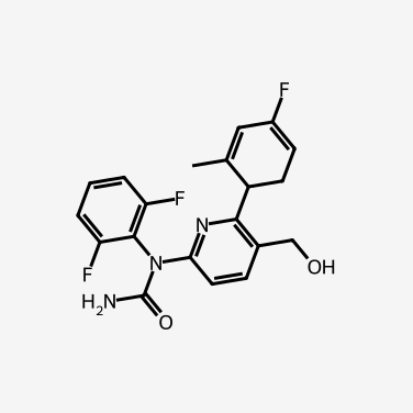 CC1=CC(F)=CCC1c1nc(N(C(N)=O)c2c(F)cccc2F)ccc1CO